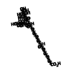 O=C(O)CCOCCOCCOCCOCCC(=O)NCCOCCOCCOCCOCCC(=O)N[C@@H](CCC(=O)NC[C@H](O)[C@@H](O)[C@H](O)[C@H](O)CO)C(=O)NC[C@H](O)[C@@H](O)[C@H](O)[C@H](O)CO